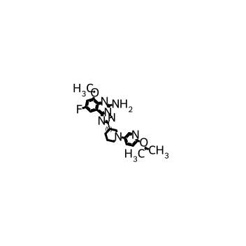 COc1cc(F)cc2c1nc(N)n1nc([C@@H]3CCCN(c4ccc(OC(C)C)nc4)C3)nc21